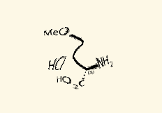 COCC[C@H](N)C(=O)O.Cl